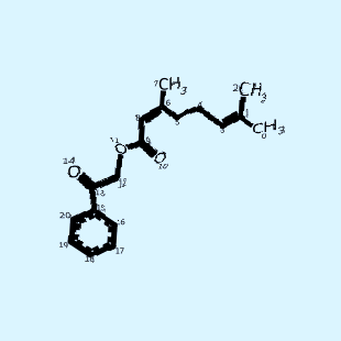 CC(C)=CCCC(C)=CC(=O)OCC(=O)c1ccccc1